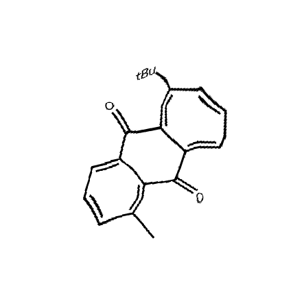 Cc1cccc2c1C(=O)c1cccc(C(C)(C)C)c1C2=O